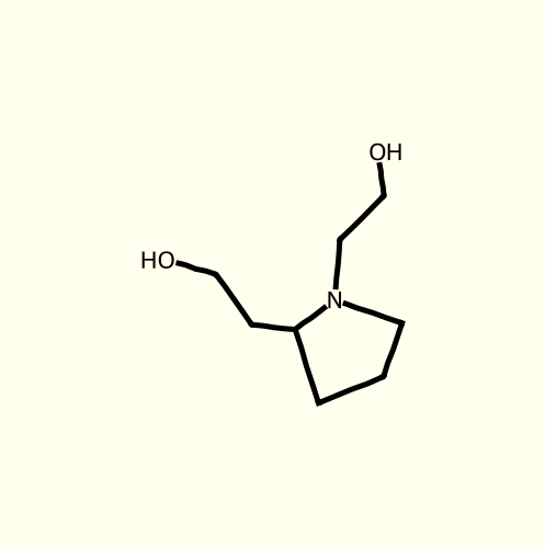 OCCC1CCCN1CCO